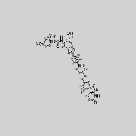 CC(C)(O)c1cc2nn(C34CCC(N5CCN(CCc6cc(F)c([C@H]7CCC(=O)NC7=O)c(F)c6)CC5)(CC3)CC4)cc2cc1NC(=O)c1ccc2cc(C#N)cnn12